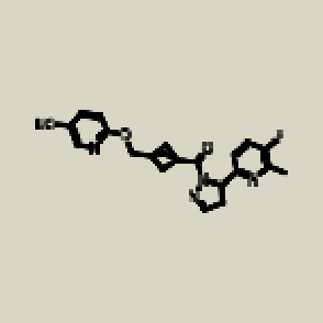 Cc1nc(C2CC=NN2C(=O)C23CC(COc4ccc(C#N)cn4)(C2)C3)ccc1F